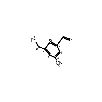 C=Cc1cc(C#N)cc(CC(C)C)c1